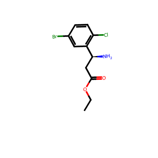 CCOC(=O)C[C@H](N)c1cc(Br)ccc1Cl